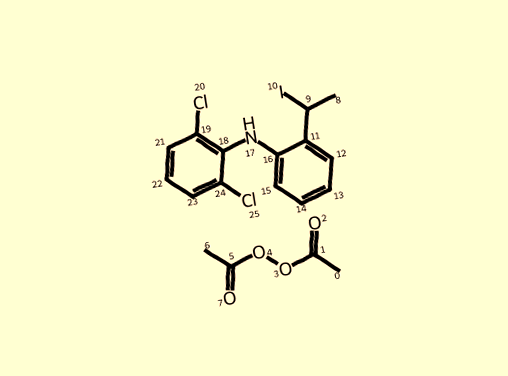 CC(=O)OOC(C)=O.CC(I)c1ccccc1Nc1c(Cl)cccc1Cl